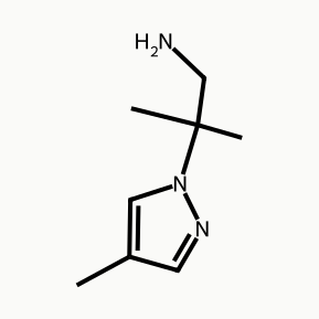 Cc1cnn(C(C)(C)CN)c1